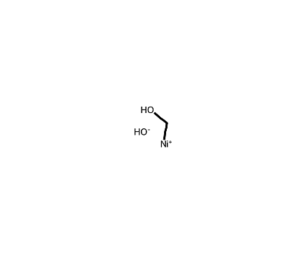 O[CH2][Ni+].[OH-]